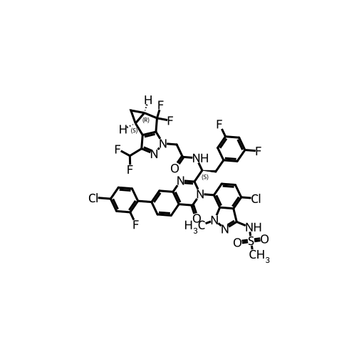 Cn1nc(NS(C)(=O)=O)c2c(Cl)ccc(-n3c([C@H](Cc4cc(F)cc(F)c4)NC(=O)Cn4nc(C(F)F)c5c4C(F)(F)[C@@H]4C[C@H]54)nc4cc(-c5ccc(Cl)cc5F)ccc4c3=O)c21